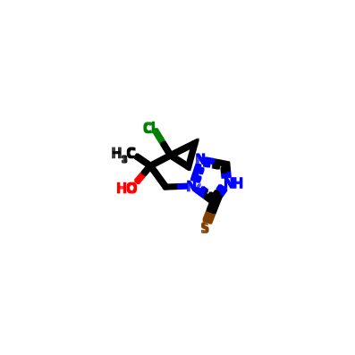 CC(O)(Cn1nc[nH]c1=S)C1(Cl)CC1